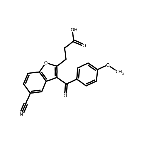 COc1ccc(C(=O)c2c(CCC(=O)O)oc3ccc(C#N)cc23)cc1